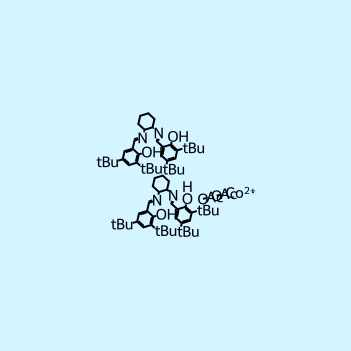 CC(=O)[O-].CC(=O)[O-].CC(C)(C)c1cc(C=NC2CCCCC2N=Cc2cc(C(C)(C)C)cc(C(C)(C)C)c2O)c(O)c(C(C)(C)C)c1.CC(C)(C)c1cc(C=N[C@H]2CCCC[C@@H]2N=Cc2cc(C(C)(C)C)cc(C(C)(C)C)c2O)c(O)c(C(C)(C)C)c1.[Co+2]